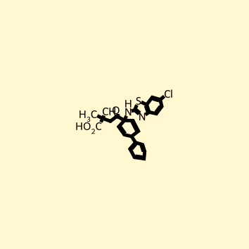 CC(C)(CC(=O)C1(Nc2nc3ccc(Cl)cc3s2)C=CC(c2ccccc2)C=C1)C(=O)O